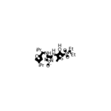 CCN(CC)S(=O)(=O)c1sc(C)c(Nc2n[s+]([O-])nc2N[C@@H](c2cc(C(C)C)co2)C(C)C)c1O